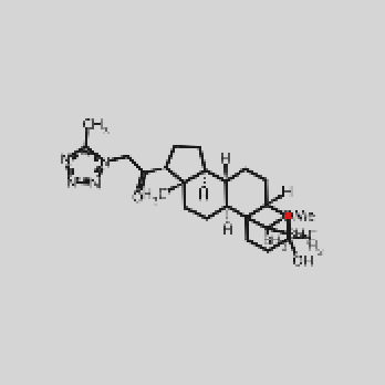 BC(B)(OC)C12CC[C@@](C)(O)C[C@H]1CC[C@@H]1[C@@H]2CC[C@]2(C)[C@@H](C(=O)Cn3nnnc3C)CC[C@@H]12